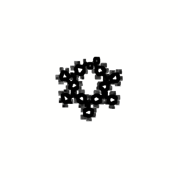 O=Cc1ccc(-n2c3ccccc3c3cc(N(c4ccccc4)c4ccc(N(c5ccccc5)c5ccc(N(c6ccccc6)c6ccc7c(c6)c6ccccc6n7-c6ccc(C=O)cc6)cc5)cc4)ccc32)cc1